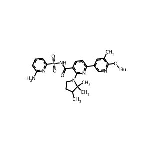 CC[C@H](C)Oc1ncc(-c2ccc(C(=O)NS(=O)(=O)c3cccc(N)n3)c(N3CCC(C)C3(C)C)n2)cc1C